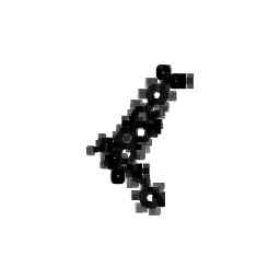 CC(C)[C@@H]1CC[C@]2(C(=O)NCCc3cccnc3)CC[C@]3(C)[C@H](CC[C@@H]4[C@@]5(C)CC=C(c6ccc(C(=O)O)cc6)C(C)(C)[C@@H]5CC[C@]43C)[C@@H]12